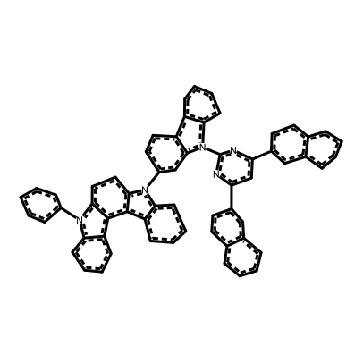 c1ccc(-n2c3ccccc3c3c4c5ccccc5n(-c5ccc6c7ccccc7n(-c7nc(-c8ccc9ccccc9c8)cc(-c8ccc9ccccc9c8)n7)c6c5)c4ccc32)cc1